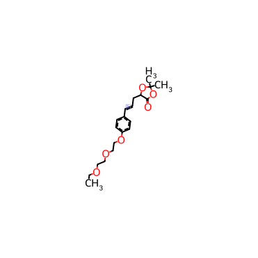 CCOCCOCCOc1ccc(/C=C/CC2OC(C)(C)OC2=O)cc1